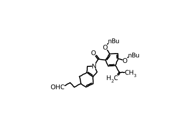 C=C(C)c1cc(C(=O)N2CC3=C(CC(CCC=O)C=C3)C2)c(OCCCC)cc1OCCCC